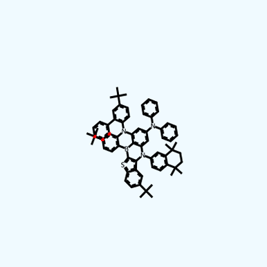 CC(C)(C)c1ccc(N2c3cc(C(C)(C)C)ccc3B3c4sc5ccc(C(C)(C)C)cc5c4N(c4ccc5c(c4)C(C)(C)CCC5(C)C)c4cc(N(c5ccccc5)c5ccccc5)cc2c43)c(-c2ccccc2)c1